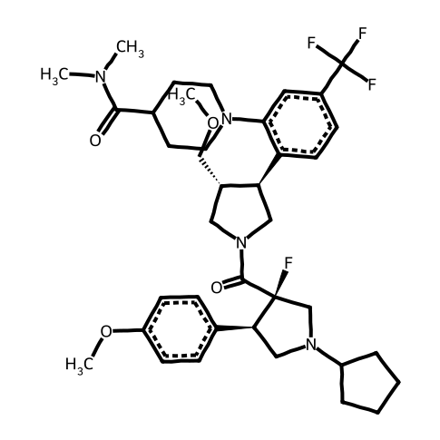 COC[C@H]1CN(C(=O)[C@]2(F)CN(C3CCCC3)C[C@H]2c2ccc(OC)cc2)C[C@@H]1c1ccc(C(F)(F)F)cc1N1CCC(C(=O)N(C)C)CC1